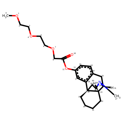 COCCOCCOCC(=O)Oc1ccc2c(c1)[C@@]13CCCC[C@H]1[C@@H](C2)N(C)CC3